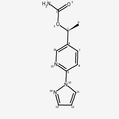 C[C@H](OC(N)=O)c1ccc(-n2cccn2)nc1